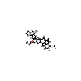 C=CCC(/N=C(\C(=C/C)C1CN1)c1cn2c3c(cccc13)N(C)C(=O)C2)Nc1cc([N+](=O)[O-])c(N2CCCC2)cc1OC